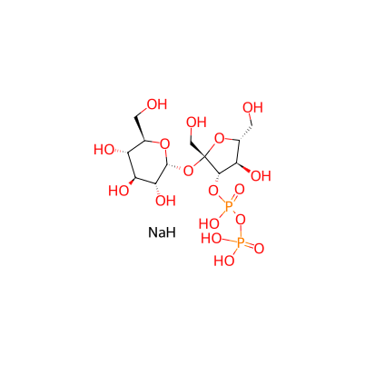 O=P(O)(O)OP(=O)(O)O[C@H]1[C@H](O)[C@@H](CO)O[C@@]1(CO)O[C@H]1O[C@H](CO)[C@@H](O)[C@H](O)[C@H]1O.[NaH]